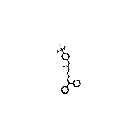 FC(F)(F)c1ccc(CNCCCC=C(c2ccccc2)c2ccccc2)cc1